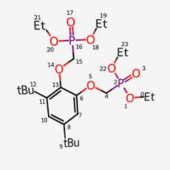 CCOP(=O)(COc1cc(C(C)(C)C)cc(C(C)(C)C)c1OCP(=O)(OCC)OCC)OCC